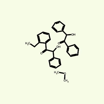 CCc1ccccc1C(=O)C(O)c1ccccc1.COC.O=C(c1ccccc1)C(O)c1ccccc1